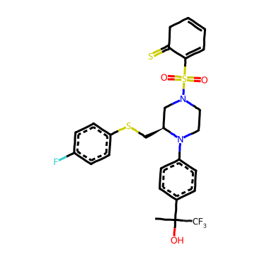 CC(O)(c1ccc(N2CCN(S(=O)(=O)C3=CC=CCC3=S)C[C@@H]2CSc2ccc(F)cc2)cc1)C(F)(F)F